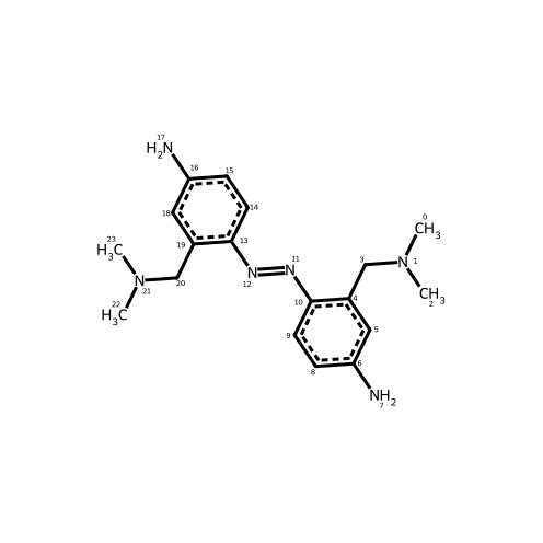 CN(C)Cc1cc(N)ccc1/N=N/c1ccc(N)cc1CN(C)C